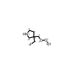 CCOOCC1(CF)CCNC1